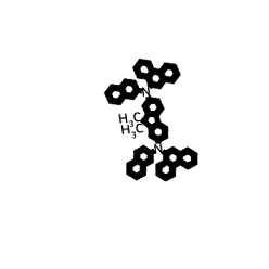 CC1(C)c2cc(N(c3ccc4ccccc4c3)c3cc4ccccc4c4ccccc34)ccc2-c2ccc(N(c3ccc4ccccc4c3)c3cc4ccccc4c4ccccc34)cc21